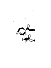 CC=CC(=O)N1CCCNCC1.O=C(O)C(F)(F)F